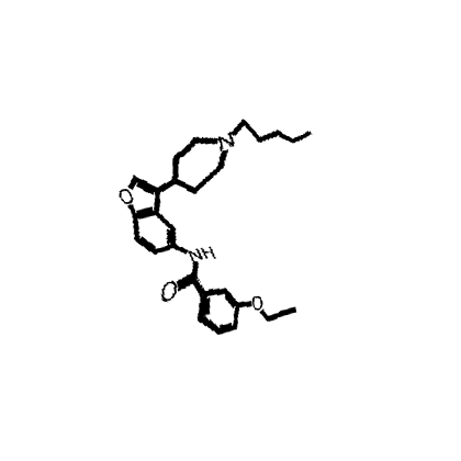 CCCCCN1CCC(c2coc3ccc(NC(=O)c4cccc(OCC)c4)cc23)CC1